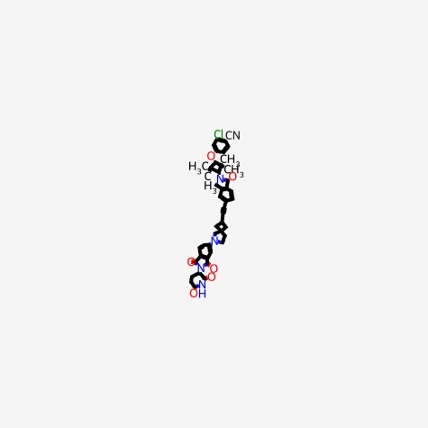 CC1(C)[C@H](Oc2ccc(C#N)c(Cl)c2)C(C)(C)[C@H]1N1Cc2cc(C#CC3CC4(CCN(c5ccc6c(c5)C(=O)N(C5CCC(=O)NC5=O)C6=O)C4)C3)ccc2C1=O